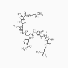 CC(C)c1sc(NC(=O)c2cc(NC(=O)CN(CC(=O)Nc3cc(C(=O)Nc4nc(C(=O)NCCCN(C)C)c(C(C)C)s4)n(C)c3)C(=O)c3cccc(C(N)=O)c3)cn2C)nc1C(=O)NCCCN(C)C